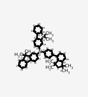 CC1(C)CC(C)(C)c2c(-c3ccc(N(c4ccc5c(c4)C(C)(C)c4ccccc4-5)c4ccc5c(c4)[Si](C)(C)c4ccccc4-5)cc3)cccc21